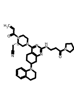 C=CC(=O)N1CCN(c2nc(NCCC(=O)N3CCCC3)nc3c2CCC(N2CCCc4ccccc42)C3)C[C@@H]1CC#N